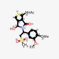 CCOc1cc(C(CS(C)(=O)=O)N2C(=O)c3c(csc3NC(C)=O)C2O)ccc1OC